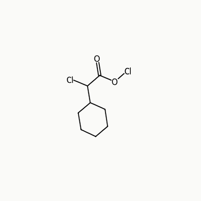 O=C(OCl)C(Cl)C1CCCCC1